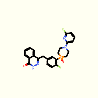 O=c1[nH]nc(Cc2ccc(F)c(P3(=O)CCN(c4cccc(F)n4)CC3)c2)c2ccccc12